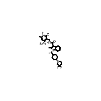 CSc1cc(C)[nH]c(=O)c1CNC(=O)c1c(C)n([C@H](C)C2CCC(N3CCC(F)(F)C3)CC2)c2ccccc12